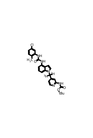 [2H]C([2H])(c1ccnc(NC(=O)OC(C)(C)C)c1)n1ccc2c(NC(=O)Nc3cc(Cl)ccc3C)cccc21